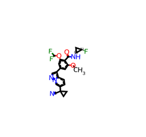 COc1cc(-c2cnn3cc(C4(C#N)CC4)ccc23)cc(OC(F)F)c1C(=O)N[C@@H]1C[C@@H]1F